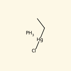 C[CH2][Hg][Cl].P